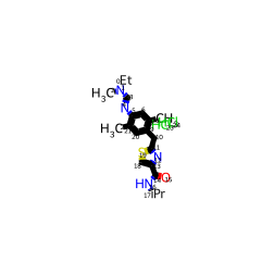 CCN(C)/C=N/c1cc(C)c(Cc2nc(C(=O)NC(C)C)cs2)cc1C.Cl.Cl